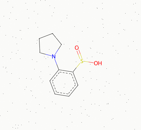 O=S(O)c1ccccc1N1CCCC1